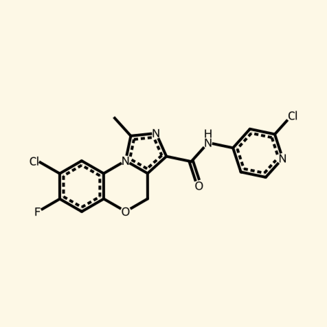 Cc1nc(C(=O)Nc2ccnc(Cl)c2)c2n1-c1cc(Cl)c(F)cc1OC2